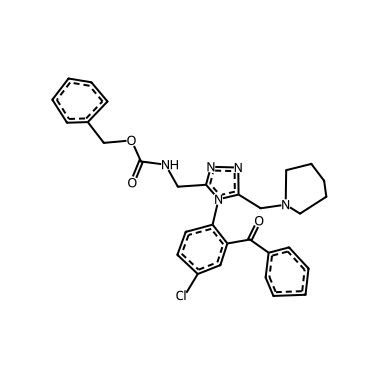 O=C(NCc1nnc(CN2CCCCC2)n1-c1ccc(Cl)cc1C(=O)c1ccccc1)OCc1ccccc1